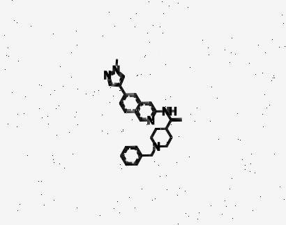 C=C(Nc1cc2cc(-c3cnn(C)c3)ccc2cn1)C1CCN(Cc2ccccc2)CC1